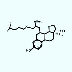 CCCCCCC(CSCCCC(F)F)CC1Cc2cc(O)ccc2C2CC[C@@]3(C)C(CC[C@@H]3O)C12